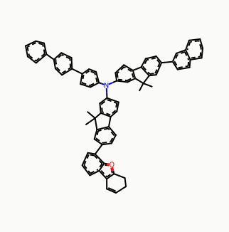 CC1(C)c2cc(-c3ccc4ccccc4c3)ccc2-c2ccc(N(c3ccc(-c4ccc(-c5ccccc5)cc4)cc3)c3ccc4c(c3)C(C)(C)c3cc(-c5cccc6c7c(oc56)CCC=C7)ccc3-4)cc21